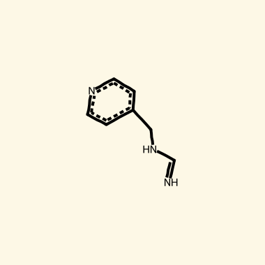 N=CNCc1ccncc1